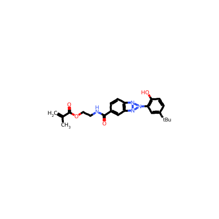 C=C(C)C(=O)OCCNC(=O)c1ccc2c(c1)n1n(-c3cc(C(C)(C)C)ccc3O)n21